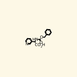 O=C(N[C@@H](C(=O)O)c1cccnc1)OCc1ccccc1